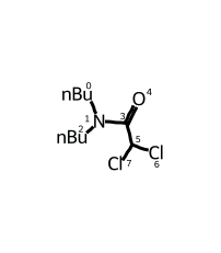 CCCCN(CCCC)C(=O)C(Cl)Cl